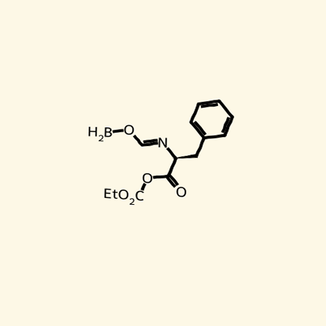 BOC=N[C@@H](Cc1ccccc1)C(=O)OC(=O)OCC